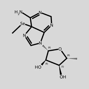 C[Se]C12N=CN([C@@H]3O[C@H](C)[C@@H](O)[C@H]3O)C1=NCN=C2N